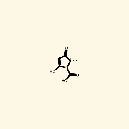 C[C@H]1C(=O)C=C(O)N1C(=O)O